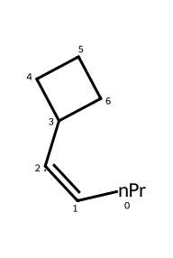 CCC/C=[C]\C1CCC1